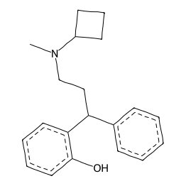 CN(CCC(c1ccccc1)c1ccccc1O)C1CCC1